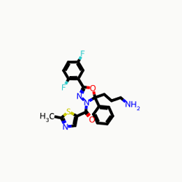 Cc1ncc(C(=O)N2N=C(c3cc(F)ccc3F)OC2(CCCN)c2ccccc2)s1